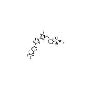 Cc1nc(-c2nc(-c3ccc(OC(F)(F)F)cc3)no2)nn1Cc1cccc(S(N)(=O)=O)c1